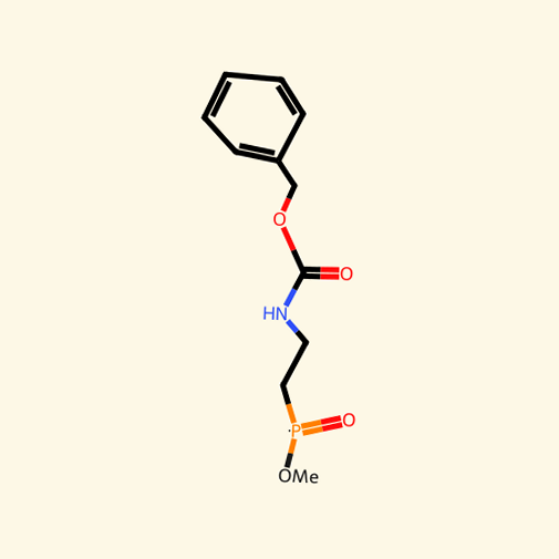 CO[P](=O)CCNC(=O)OCc1ccccc1